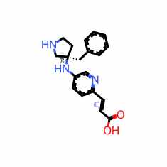 O=C(O)/C=C/c1ccc(N[C@]2(Cc3ccccc3)CCNC2)cn1